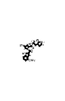 COc1cccc2[nH]c(C(=O)N3CC(C(C)C)CC3C(=O)NC(C#N)CC3CCNC3=O)cc12